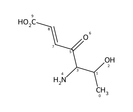 CC(O)C(N)C(=O)C=CC(=O)O